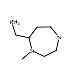 CN1CC[N]CCC1CN